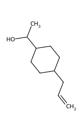 C=CCC1CCC(C(C)O)CC1